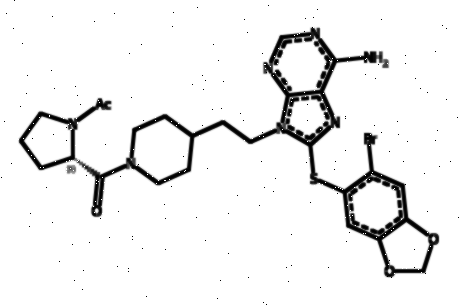 CC(=O)N1CCC[C@H]1C(=O)N1CCC(CCn2c(Sc3cc4c(cc3Br)OCO4)nc3c(N)ncnc32)CC1